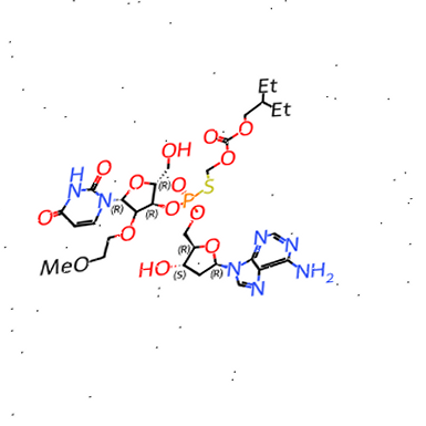 CCC(CC)COC(=O)OCSP(=O)(OC[C@H]1O[C@@H](n2cnc3c(N)ncnc32)C[C@@H]1O)O[C@H]1C(OCCOC)[C@H](n2ccc(=O)[nH]c2=O)O[C@@H]1CO